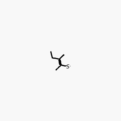 CC/C(C)=C(\C)[S]